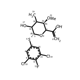 C=C(O)C1O[C@H](Sc2cc(Cl)c(F)c(Cl)c2)C(O)C(C)[C@H]1OC